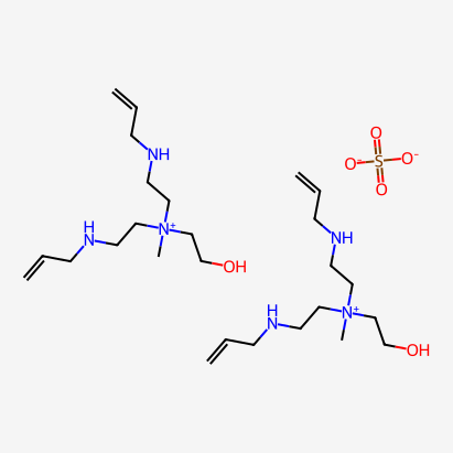 C=CCNCC[N+](C)(CCO)CCNCC=C.C=CCNCC[N+](C)(CCO)CCNCC=C.O=S(=O)([O-])[O-]